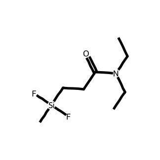 CCN(CC)C(=O)CC[Si](C)(F)F